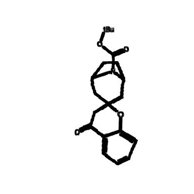 CC(C)(C)OC(=O)N1C2CCC1CC1(CC(=O)c3ccccc3O1)C2